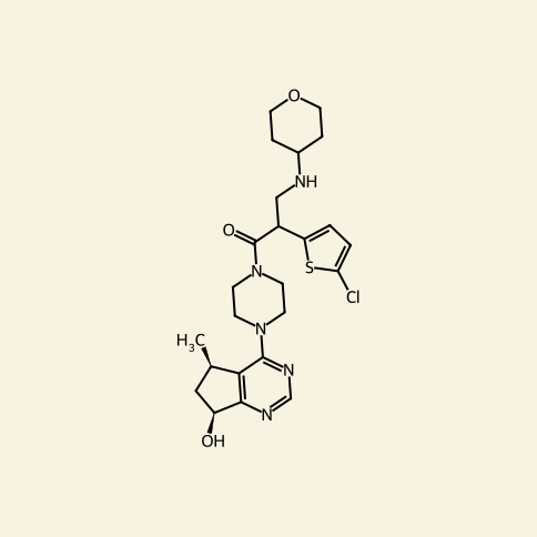 C[C@@H]1C[C@H](O)c2ncnc(N3CCN(C(=O)C(CNC4CCOCC4)c4ccc(Cl)s4)CC3)c21